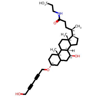 C[C@H](CCC(=O)NCCS(=O)(=O)O)[C@H]1CCC2[C@@H]3C(CC[C@@]21C)[C@@]1(C)CC[C@@H](OCC#CC#CCO)CC1C[C@@H]3O